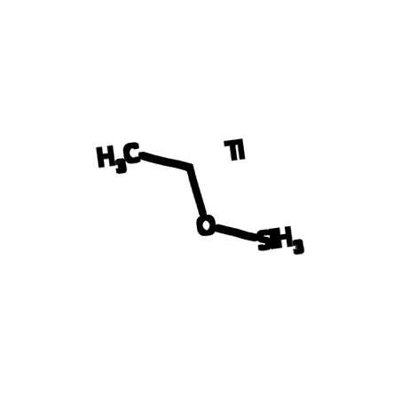 CCO[SiH3].[Ti]